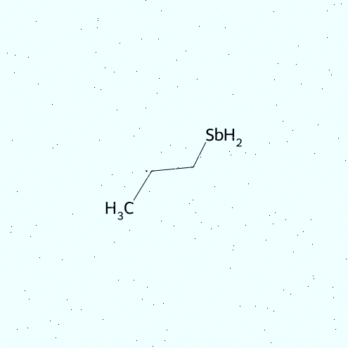 C[CH][CH2][SbH2]